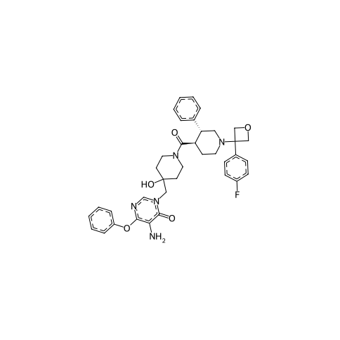 Nc1c(Oc2ccccc2)ncn(CC2(O)CCN(C(=O)[C@@H]3CCN(C4(c5ccc(F)cc5)COC4)C[C@H]3c3ccccc3)CC2)c1=O